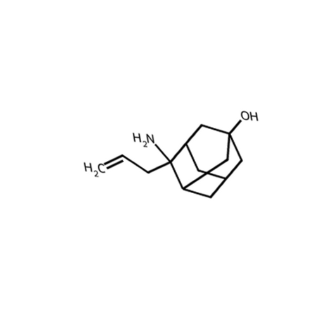 C=CCC1(N)C2CC3CC1CC(O)(C3)C2